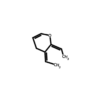 C/C=C1/CC=CO/C1=C/C